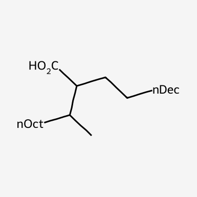 CCCCCCCCCCCCC(C(=O)O)C(C)CCCCCCCC